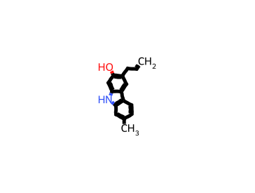 C=CCc1cc2c(cc1O)[nH]c1cc(C)ccc12